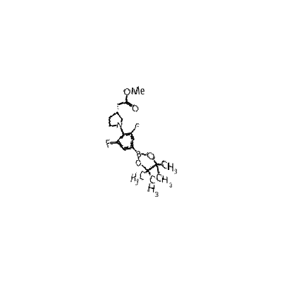 COC(=O)C[C@H]1CCN(c2c(F)cc(B3OC(C)(C)C(C)(C)O3)cc2F)C1